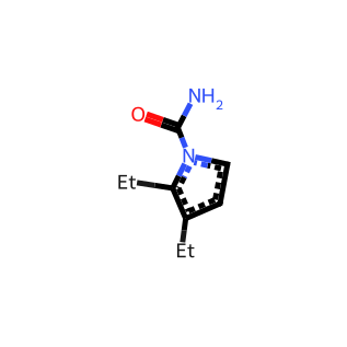 CCc1ccn(C(N)=O)c1CC